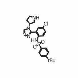 CC(C)(C)c1ccc(S(=O)(=O)Nc2ccc(Cl)cc2-c2nncn2[C@H]2CCNC2)cc1